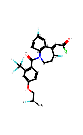 C[C@@H](F)COc1ccc(C(=O)N2CCC(F)/C(=C\C(=O)Cl)c3cc(F)ccc32)c(C(F)(F)F)c1